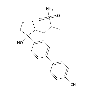 CC(CC1COCC1(O)c1ccc(-c2ccc(C#N)cc2)cc1)S(N)(=O)=O